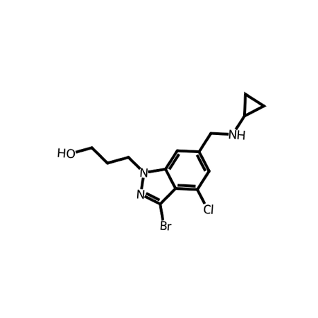 OCCCn1nc(Br)c2c(Cl)cc(CNC3CC3)cc21